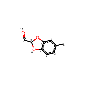 Cc1[c]cc2c(c1)OC(C=O)O2